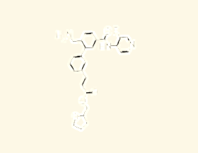 NCc1ccc(C(=O)Nc2ccncc2F)cc1-c1cccc(/C=C/C(=O)OCC2CCCO2)c1